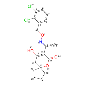 CCCC(=NOCc1cccc(Cl)c1Cl)C1=C(O)CC2(CCCC2)OC1=O